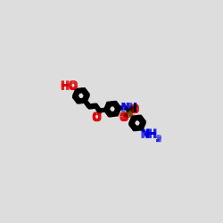 Nc1ccc(S(=O)(=O)Nc2ccc(C(=O)/C=C/c3ccc(O)cc3)cc2)cc1